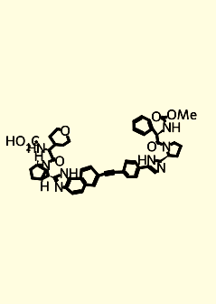 COC(=O)N[C@@H](C(=O)N1CCC[C@H]1c1ncc(-c2ccc(C#Cc3ccc4c(ccc5nc([C@@H]6[C@H]7CC[C@H](C7)N6C(=O)[C@@H](NC(=O)O)C6CCOCC6)[nH]c54)c3)cc2)[nH]1)c1ccccc1